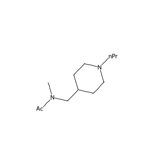 CCCN1CCC(CN(C)C(C)=O)CC1